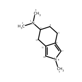 CN(C)C1CCc2cn(C)cc2C1